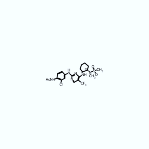 CC(=O)Nc1ccc(Nc2ncc(C(F)(F)F)c(N[C@@H]3CCCC[C@H]3N(C)S(C)(=O)=O)n2)cc1Cl